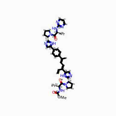 C=C/C(=C\C=C(/C)c1ccc(-c2cnc([C@@H]3CCCN3C(=O)[C@@H](Nc3ncccn3)C(C)C)[nH]2)cc1)c1cnc([C@@H]2CCCN2C(=O)[C@@H](NC(=O)OC)C(C)C)[nH]1